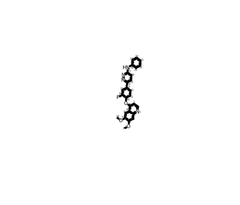 COc1cc2nccc(Oc3ccc(-c4ccc(Nc5ccccc5)nn4)cc3F)c2cc1OC